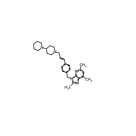 Cc1cc(C)c2nc(C)n(Cc3ccc(/C=C/CN4CCC(N5CCCCC5)CC4)cc3)c2n1